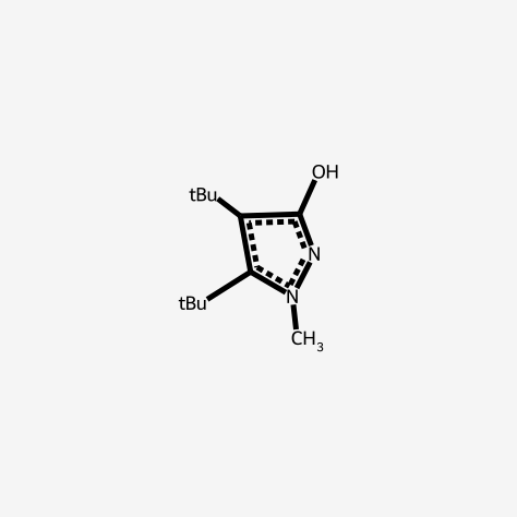 Cn1nc(O)c(C(C)(C)C)c1C(C)(C)C